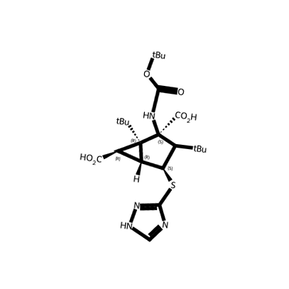 CC(C)(C)OC(=O)N[C@@]1(C(=O)O)C(C(C)(C)C)[C@@H](Sc2nc[nH]n2)[C@@H]2[C@@H](C(=O)O)[C@]21C(C)(C)C